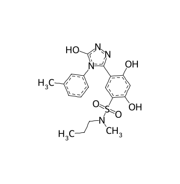 CCCN(C)S(=O)(=O)c1cc(-c2nnc(O)n2-c2cccc(C)c2)c(O)cc1O